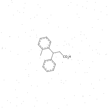 Cc1ccccc1C(CC(=O)O)c1ccccc1